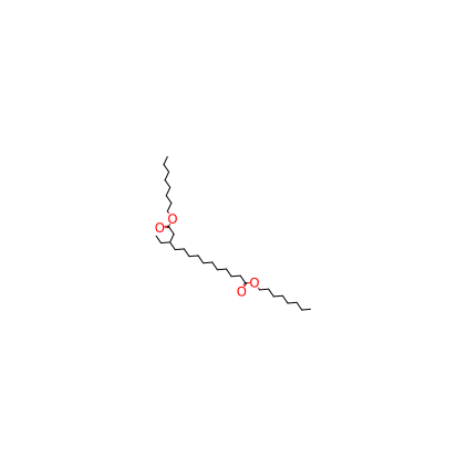 CCCCCCCCOC(=O)CCCCCCCCCCC(CC)CC(=O)OCCCCCCCC